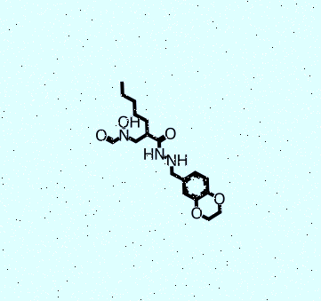 CCCCCC(CN(O)C=O)C(=O)NNCc1ccc2c(c1)OCCO2